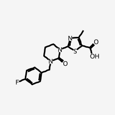 Cc1nc(N2CCCN(Cc3ccc(F)cc3)C2=O)sc1C(=O)O